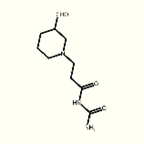 NC(=O)NC(=O)CCN1CCCC(C=O)C1